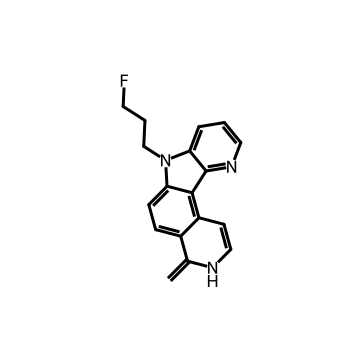 C=C1NC=Cc2c1ccc1c2c2ncccc2n1CCCF